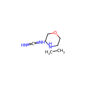 C1COCCN1.CC.N=C=N